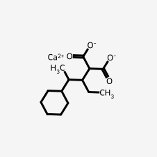 CCC(C(C(=O)[O-])C(=O)[O-])C(C)C1CCCCC1.[Ca+2]